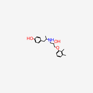 Cc1cccc(OCC(O)CNC(C)Cc2ccc(O)cc2)c1C